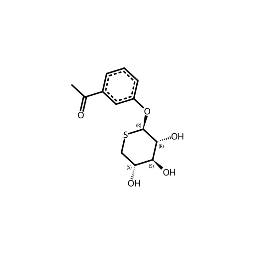 CC(=O)c1cccc(O[C@@H]2SC[C@@H](O)[C@H](O)[C@H]2O)c1